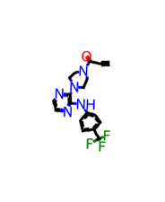 C#CC(=O)N1CCN(c2nccnc2Nc2ccc(C(F)(F)F)cc2)CC1